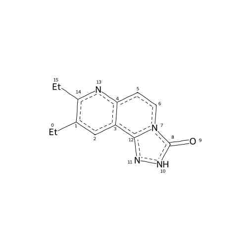 CCc1cc2c(ccn3c(=O)[nH]nc23)nc1CC